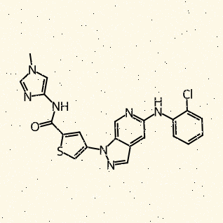 Cn1cnc(NC(=O)c2cc(-n3ncc4cc(Nc5ccccc5Cl)ncc43)cs2)c1